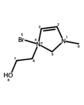 CN1C=C[N+](Br)(CCO)C1